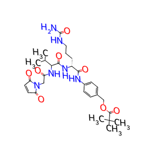 CC(C)C(NC(=O)CN1C(=O)C=CC1=O)C(=O)N[C@H](CCCNC(N)=O)C(=O)Nc1ccc(COC(=O)C(C)(C)C)cc1